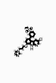 CCS(=O)(=O)C1=CCCC(c2ccc(OCCCn3cnnc3)c3[nH]c4ncc(Cl)cc4c23)=C1